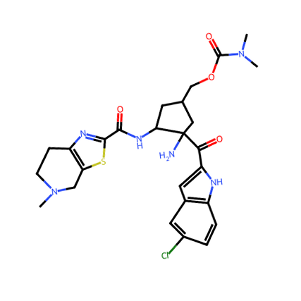 CN1CCc2nc(C(=O)NC3CC(COC(=O)N(C)C)CC3(N)C(=O)c3cc4cc(Cl)ccc4[nH]3)sc2C1